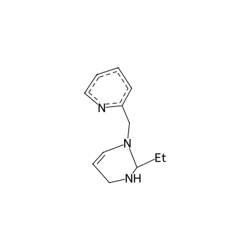 CCC1NCC=CN1Cc1ccccn1